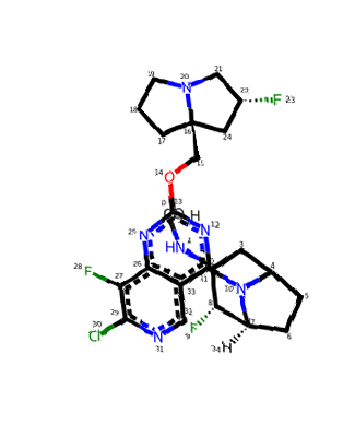 O=C(O)N[C@H]1CC2CC[C@@H]([C@@H]1F)N2c1nc(OC[C@@]23CCCN2C[C@H](F)C3)nc2c(F)c(Cl)ncc12